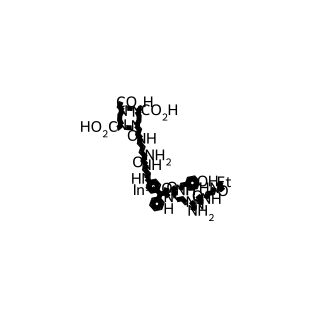 CCC(=O)NCCNC(=O)/N=C(/N)NCCC[C@@H](NC(=O)C(c1ccccc1)c1ccc(NCCNC(=O)[C@H](N)CCCNC(=O)CN2CCN(CC(=O)O)CCN(CC(=O)O)CCN(CC(=O)O)CC2)cc1)C(=O)NCc1ccc(O)cc1.[In+3]